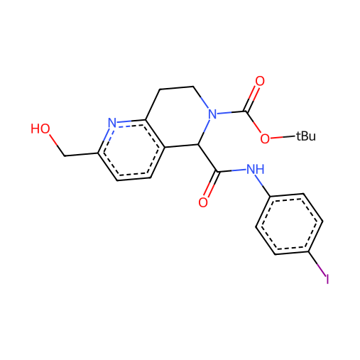 CC(C)(C)OC(=O)N1CCc2nc(CO)ccc2C1C(=O)Nc1ccc(I)cc1